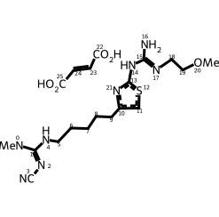 CNC(=NC#N)NCCCCCc1csc(NC(N)=NCCOC)n1.O=C(O)C=CC(=O)O